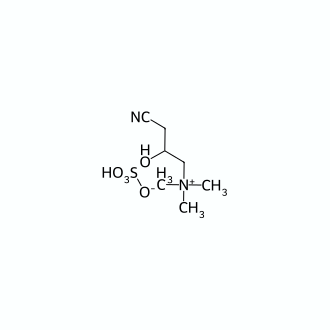 C[N+](C)(C)CC(O)CC#N.O=S(=O)([O-])O